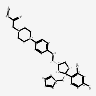 CCNC(=O)CN1CCN(c2ccc(OC[C@@H]3CO[C@@](Cn4ccnc4)(c4ccc(Cl)cc4Cl)O3)cc2)CC1